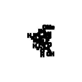 COc1nc(N)nc2c1ncn2C1OC(CO)C(O)C1(C)N=[N+]=[N-]